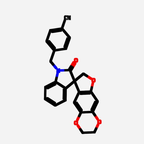 N#Cc1ccc(CN2C(=O)C3(COc4cc5c(cc43)OCCO5)c3ccccc32)cc1